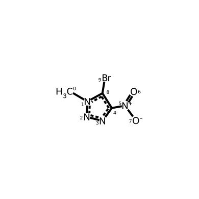 Cn1nnc([N+](=O)[O-])c1Br